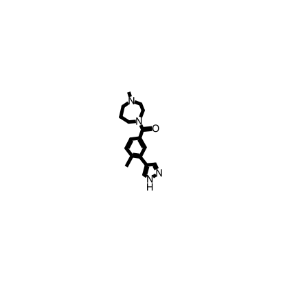 Cc1ccc(C(=O)N2CCCN(C)CC2)cc1-c1cn[nH]c1